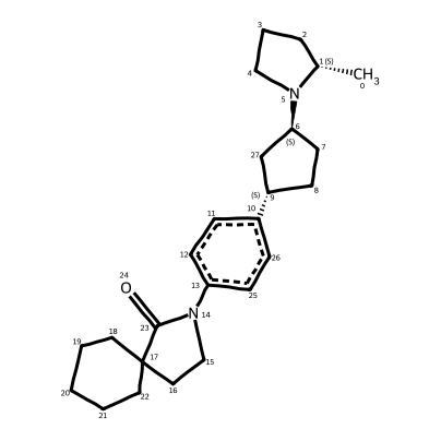 C[C@H]1CCCN1[C@H]1CC[C@H](c2ccc(N3CCC4(CCCCC4)C3=O)cc2)C1